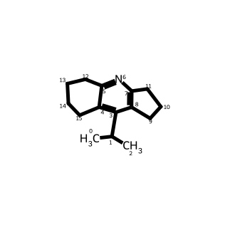 CC(C)c1c2c(nc3c1CCC3)CCCC2